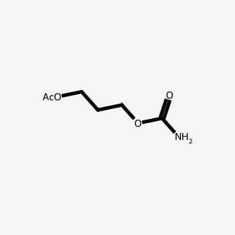 CC(=O)OCC[CH]OC(N)=O